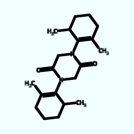 CC1=C(N2CC(=O)N(C3=C(C)CCCC3C)CC2=O)C(C)CCC1